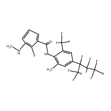 CNc1cccc(C(=O)Nc2c(C)cc(C(F)(C(F)(F)F)C(F)(F)C(F)(F)F)cc2C(F)(F)F)c1F